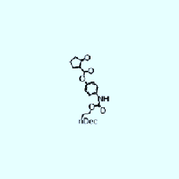 CCCCCCCCCCCCOC(=O)Nc1ccc(OC(=O)C2CCCC2=O)cc1